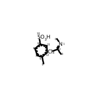 CN=C(C)Cl.Cc1ccc(S(=O)(=O)O)cc1